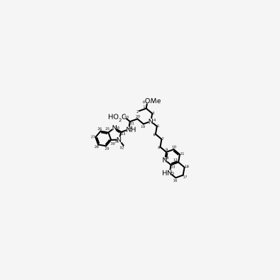 COC(C)CN(CCCCc1ccc2c(n1)NCCC2)CCC(Nc1nc2ccccc2n1C)C(=O)O